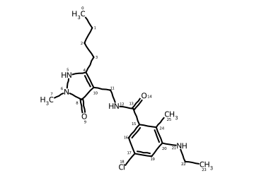 CCCCc1[nH]n(C)c(=O)c1CNC(=O)c1cc(Cl)cc(NCC)c1C